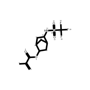 C=C(C)C(=O)OC1CC2CC1CC2NS(=O)(=O)C(F)(F)F